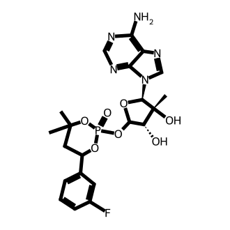 CC1(C)CC(c2cccc(F)c2)OP(=O)(OC2O[C@@H](n3cnc4c(N)ncnc43)[C@](C)(O)[C@@H]2O)O1